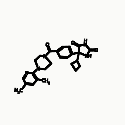 Cc1cnc(N2CCN(C(=O)c3ccc(C4(C5CCC5)NC(=O)NC4=O)cc3)CC2)c(C)c1